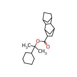 CC(C)(OC(=O)C1CC2CC1C1C3CCC(C3)C21)C1CCCCC1